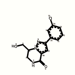 O=C1NCC(CO)n2nc(-c3cccc(Cl)c3)cc21